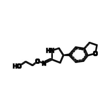 OCCO/N=C1/C[C@H](c2ccc3c(c2)CCO3)CN1